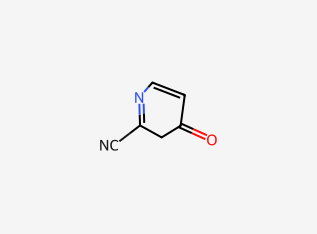 N#CC1=NC=CC(=O)C1